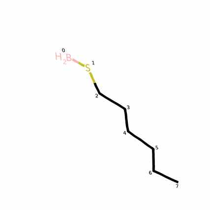 BSCCCCCC